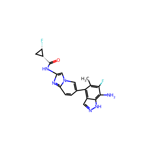 Cc1c(F)c(N)c2[nH]ncc2c1-c1ccc2nc(NC(=O)[C@@H]3C[C@@H]3F)cn2c1